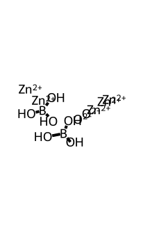 OB(O)O.OB(O)O.[O-2].[O-2].[Zn+2].[Zn+2].[Zn+2].[Zn+2].[Zn+2]